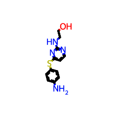 Nc1ccc(Sc2ccnc(NCCO)n2)cc1